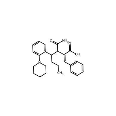 CCCC(c1ccccc1N1CCCCC1)C(C(N)=O)C(=Cc1ccccc1)C(=O)O